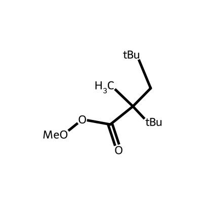 COOC(=O)C(C)(CC(C)(C)C)C(C)(C)C